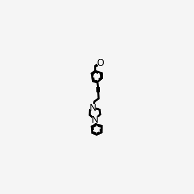 O=Cc1ccc(C#CCCN2CCN(c3ccccc3)CC2)cc1